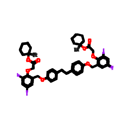 CCC1(OC(=O)COc2c(I)cc(I)cc2COc2ccc(CCc3ccc(OCc4cc(I)cc(I)c4OCC(=O)OC4(CC)CCCCC4)cc3)cc2)CCCCC1